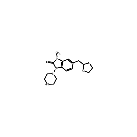 Cn1c(=O)n(N2CCNCC2)c2ccc(CC3OCCO3)cc21